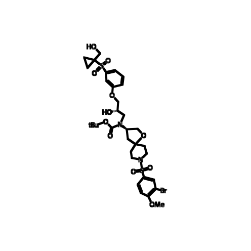 COc1ccc(S(=O)(=O)N2CCC3(CC2)C[C@@H](N(C[C@H](O)COc2cccc(S(=O)(=O)C4(CO)CC4)c2)C(=O)OC(C)(C)C)CO3)cc1Br